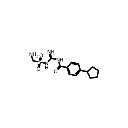 N=C(NC(=O)c1ccc(C2CCCC2)cc1)NS(=O)(=O)CN